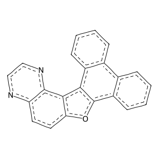 c1ccc2c(c1)c1ccccc1c1c2oc2ccc3nccnc3c21